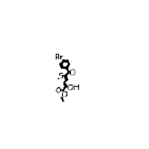 CCOC(=O)C(O)=CC=C(SC)C(=O)c1ccc(Br)cc1